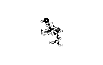 CC(C)(C)c1cc(C(=O)N2CCN(CCC(=O)N(CCO)CCO)C(=O)C2(C)C)c(NC(=O)Nc2cccc(Cl)c2Cl)s1